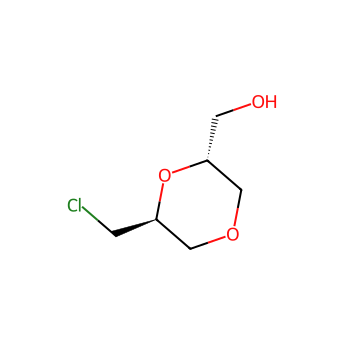 OC[C@@H]1COC[C@@H](CCl)O1